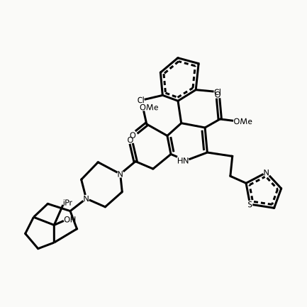 COC(=O)C1=C(CCc2nccs2)NC(CC(=O)N2CCN(C3CC4CCC(C3)C4(O)C(C)C)CC2)=C(C(=O)OC)C1c1c(Cl)cccc1Cl